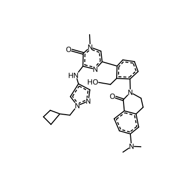 CN(C)c1ccc2c(c1)CCN(c1cccc(-c3cn(C)c(=O)c(Nc4cnn(CC5CCC5)c4)n3)c1CO)C2=O